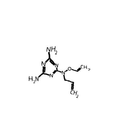 C=CCN(OC=C)c1nc(N)nc(N)n1